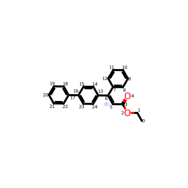 CCOC(=O)/C=C(\c1ccccc1)c1ccc(-c2ccccc2)cc1